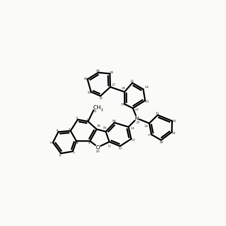 Cc1cc2ccccc2c2oc3ccc(N(c4ccccc4)c4cccc(-c5ccccc5)c4)cc3c12